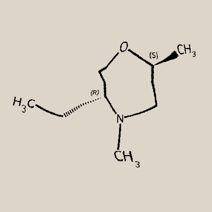 CC[C@@H]1CO[C@@H](C)CN1C